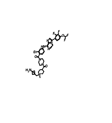 CCc1cc(Nc2nccn3c(-c4ccc(OC(F)F)c(F)c4F)cnc23)ccc1C(=O)N1CCN(C(=O)C2CC[N+](C)(CC34CC(N)(C3)C4)CC2)CC1